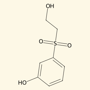 O=S(=O)(CCO)c1cccc(O)c1